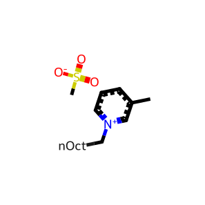 CCCCCCCCC[n+]1cccc(C)c1.CS(=O)(=O)[O-]